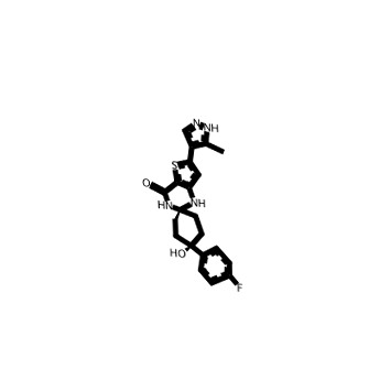 Cc1[nH]ncc1-c1cc2c(s1)C(=O)N[C@]1(CC[C@@](O)(c3ccc(F)cc3)CC1)N2